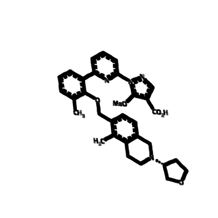 COc1c(C(=O)O)cnn1-c1cccc(-c2cccc(C)c2OCc2ccc3c(c2C)CCN([C@@H]2CCOC2)C3)n1